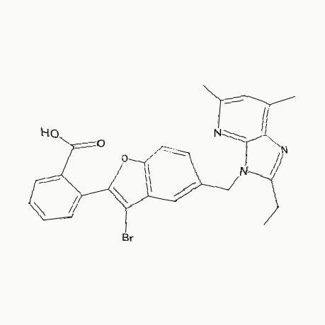 CCc1nc2c(C)cc(C)nc2n1Cc1ccc2oc(-c3ccccc3C(=O)O)c(Br)c2c1